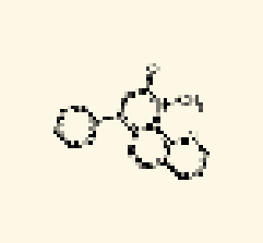 Cn1c(=O)cc(-c2ccccc2)c2ccc3cccnc3c21